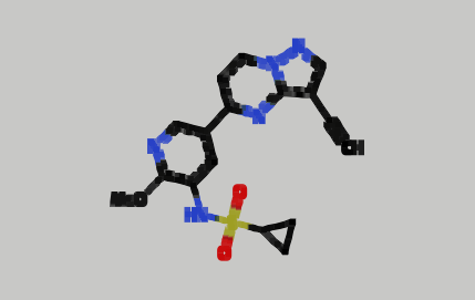 C#Cc1cnn2ccc(-c3cnc(OC)c(NS(=O)(=O)C4CC4)c3)nc12